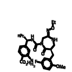 CCC[C@@H](NC(=O)N1C/C(=N/OCC)NC[C@@H](Cc2cc(F)ccc2OC)C1=O)c1ccc(C(=O)O)c(N)c1